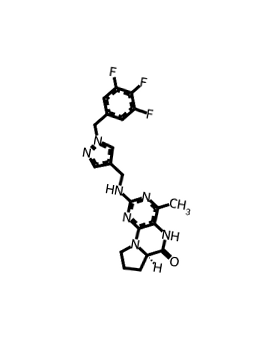 Cc1nc(NCc2cnn(Cc3cc(F)c(F)c(F)c3)c2)nc2c1NC(=O)[C@H]1CCCN21